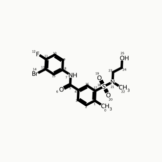 Cc1ccc(C(=O)Nc2ccc(F)c(Br)c2)cc1S(=O)(=O)N(C)CCO